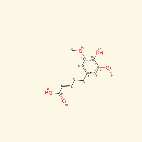 COc1cc(CCC=CC(=O)O)cc(OC)c1O